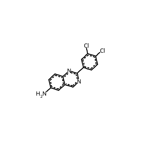 Nc1ccc2nc(-c3ccc(Cl)c(Cl)c3)ncc2c1